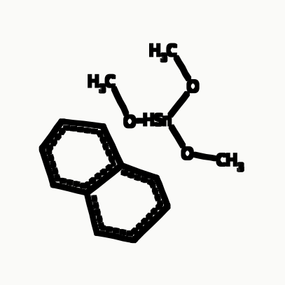 C[O][SnH]([O]C)[O]C.c1ccc2ccccc2c1